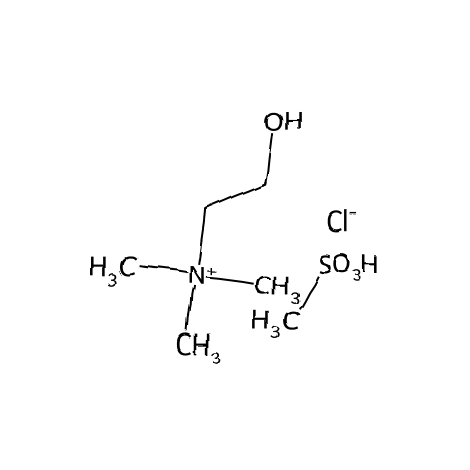 CS(=O)(=O)O.C[N+](C)(C)CCO.[Cl-]